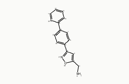 NCc1cc(-c2ccc(-c3ccccn3)cc2)no1